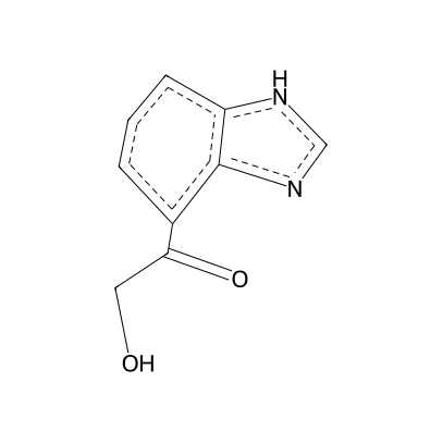 O=C(CO)c1cccc2[nH]cnc12